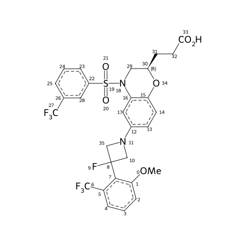 COc1cccc(C(F)(F)F)c1C1(F)CN(c2ccc3c(c2)N(S(=O)(=O)c2cccc(C(F)(F)F)c2)C[C@@H](CCC(=O)O)O3)C1